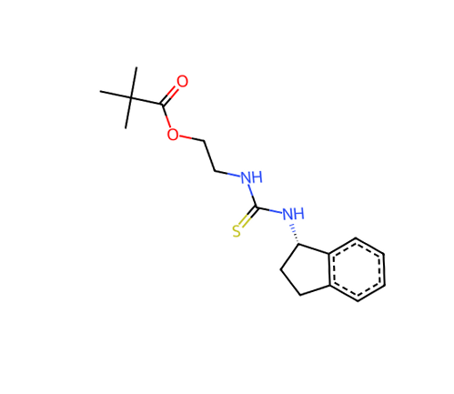 CC(C)(C)C(=O)OCCNC(=S)N[C@H]1CCc2ccccc21